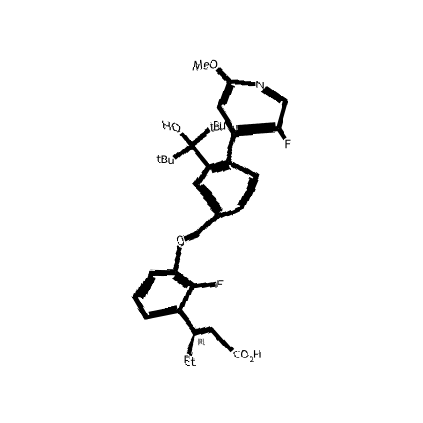 CC[C@H](CC(=O)O)c1cccc(OCc2ccc(-c3cc(OC)ncc3F)c(C(O)(C(C)(C)C)C(C)(C)C)c2)c1F